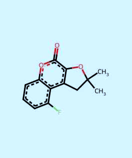 CC1(C)Cc2c(c(=O)oc3cccc(F)c23)O1